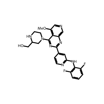 COc1cncc2nc(-c3ccnc(Nc4c(F)cccc4F)c3)nc(N3CCNC(CO)C3)c12